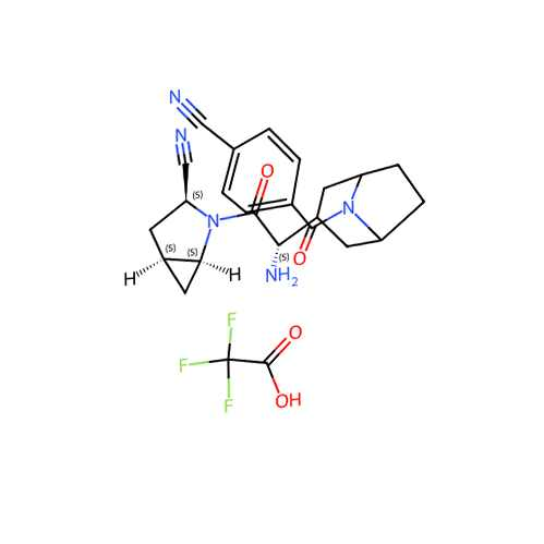 N#Cc1ccc(C(=O)N2C3CCC2CC([C@H](N)C(=O)N2[C@H](C#N)C[C@@H]4C[C@@H]42)C3)cc1.O=C(O)C(F)(F)F